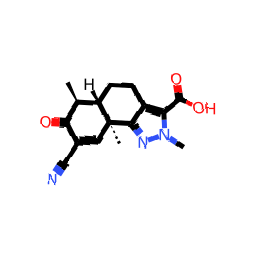 C[C@@H]1C(=O)C(C#N)=C[C@]2(C)c3nn(C)c(C(=O)O)c3CC[C@@H]12